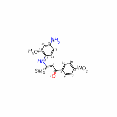 CS/C(=C\C(=O)c1ccc([N+](=O)[O-])cc1)Nc1ccc(N)cc1C